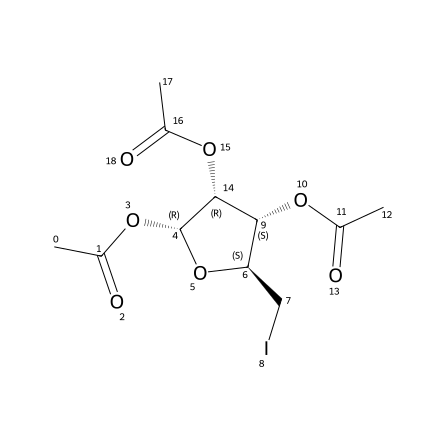 CC(=O)O[C@H]1O[C@H](CI)[C@@H](OC(C)=O)[C@H]1OC(C)=O